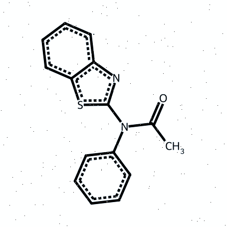 CC(=O)N(c1ccccc1)c1nc2[c]cccc2s1